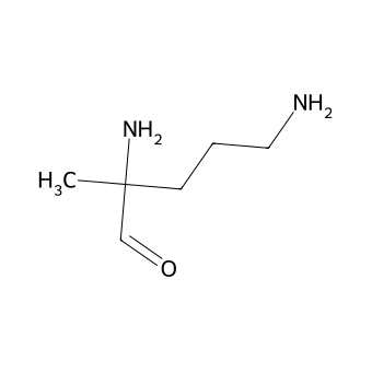 CC(N)(C=O)CCCN